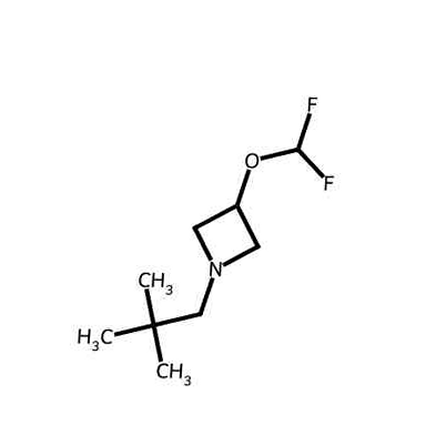 CC(C)(C)CN1CC(OC(F)F)C1